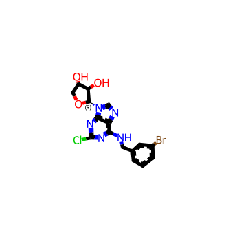 OC1CO[C@@H](n2cnc3c(NCc4cccc(Br)c4)nc(Cl)nc32)C1O